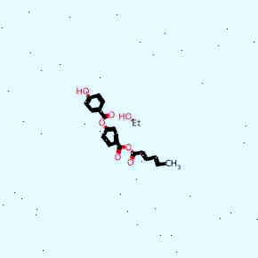 CC=CC=CC(=O)OC(=O)c1ccc(OC(=O)c2ccc(O)cc2)cc1.CCO